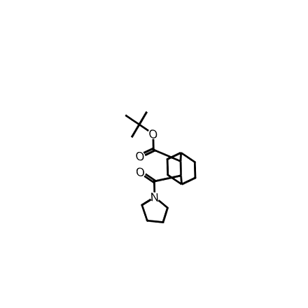 CC(C)(C)OC(=O)C1C2CCC(CC2)C1C(=O)N1CCCC1